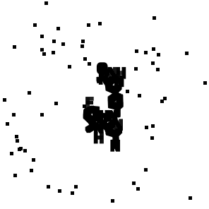 CC(NC(=O)c1cc(C#N)cnc1NCc1ccc(-c2cnc3[nH]c(=O)n(C)c3c2)cc1)c1ccc(F)cc1